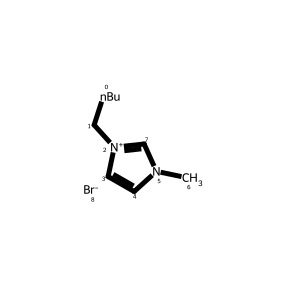 CCCCC[n+]1ccn(C)c1.[Br-]